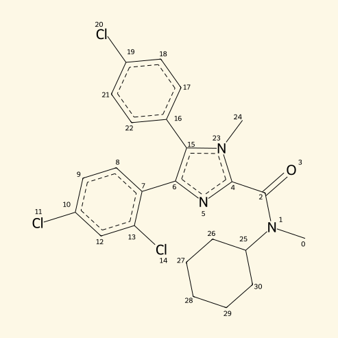 CN(C(=O)c1nc(-c2ccc(Cl)cc2Cl)c(-c2ccc(Cl)cc2)n1C)C1CCCCC1